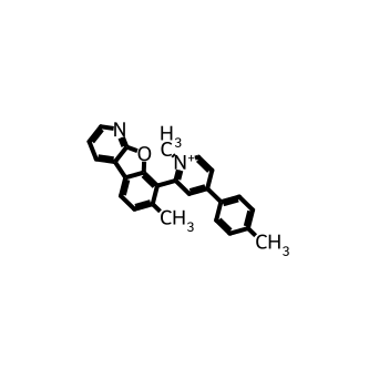 Cc1ccc(-c2cc[n+](C)c(-c3c(C)ccc4c3oc3ncccc34)c2)cc1